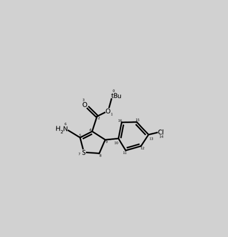 CC(C)(C)OC(=O)C1=C(N)SCC1c1ccc(Cl)cc1